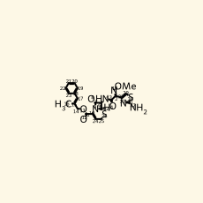 CON=C(C(=O)NC1C(=O)N2C(C(=O)OCC(C)=Cc3ccccc3)=CCS[C@@H]12)c1csc(N)n1